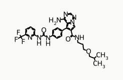 CC(C)COCCCNC(=O)c1cn2ncnc(N)c2c1-c1ccc(NC(=O)Nc2cccc(C(F)(F)F)n2)cc1